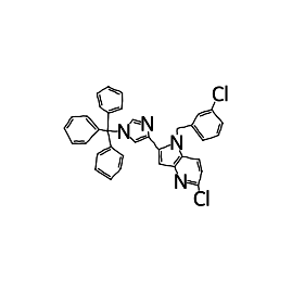 Clc1cccc(Cn2c(-c3cn(C(c4ccccc4)(c4ccccc4)c4ccccc4)cn3)cc3nc(Cl)ccc32)c1